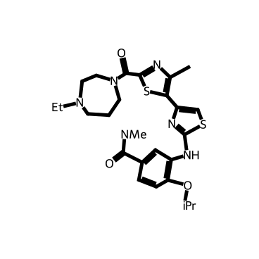 CCN1CCCN(C(=O)c2nc(C)c(-c3csc(Nc4cc(C(=O)NC)ccc4OC(C)C)n3)s2)CC1